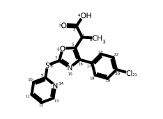 CC(C(=O)O)c1oc(Sc2ccccn2)nc1-c1ccc(Cl)cc1